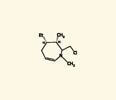 CC[C@H]1CC=CN(C)C(CCl)[C@H]1C